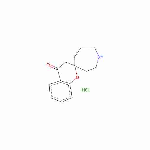 Cl.O=C1CC2(CCCNCC2)Oc2ccccc21